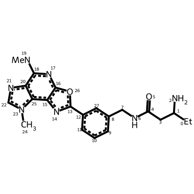 CCC(N)CC(=O)NCc1cccc(-c2nc3c(nc(NC)c4ncn(C)c43)o2)c1